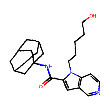 O=C(NC12CC3CC(CC(C3)C1)C2)c1cc2cnccc2n1CCCCCO